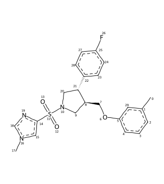 Cc1cccc(OC[C@H]2CN(S(=O)(=O)c3cn(C)cn3)C[C@@H]2c2ccc(F)cc2)c1